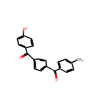 Cc1ccc(C(=O)c2ccc(C(=O)c3ccc(O)cc3)cc2)cc1